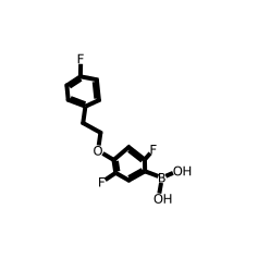 OB(O)c1cc(F)c(OCCc2ccc(F)cc2)cc1F